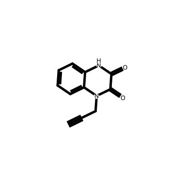 C#CCn1c(=O)c(=O)[nH]c2ccccc21